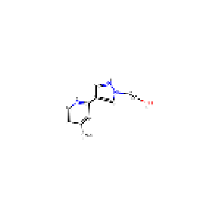 CSc1ccnc(-c2cnn(CCO)c2)c1